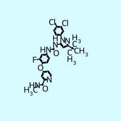 CNC(=O)c1cc(Oc2ccc(NC(=O)Nc3cc(C(C)(C)C)nn3-c3ccc(Cl)c(Cl)c3)cc2F)ccn1